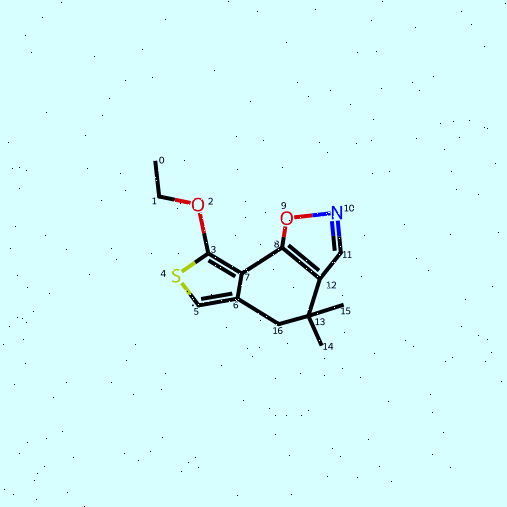 CCOc1s[c]c2c1-c1oncc1C(C)(C)C2